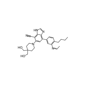 C/C=N\c1cc(-c2cc(N3CCC(CO)(CO)CC3)c(C#N)c3[nH]cnc23)ccc1CCCC